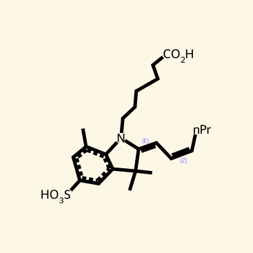 CCC/C=C\C=C1\N(CCCCCC(=O)O)c2c(C)cc(S(=O)(=O)O)cc2C1(C)C